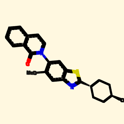 COc1cc2nc([C@H]3CC[C@H](C)CC3)sc2cc1-n1ccc2ccccc2c1=O